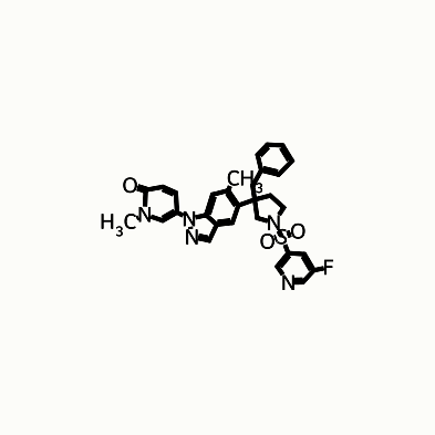 Cc1cc2c(cnn2-c2ccc(=O)n(C)c2)cc1C1(Cc2ccccc2)CCN(S(=O)(=O)c2cncc(F)c2)C1